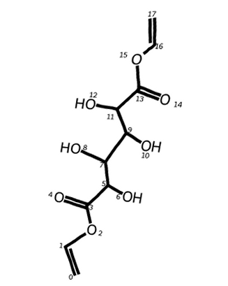 C=COC(=O)C(O)C(O)C(O)C(O)C(=O)OC=C